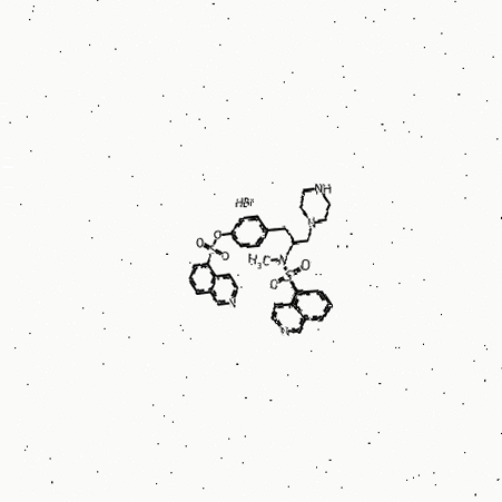 Br.CN(C(Cc1ccc(OS(=O)(=O)c2cccc3cnccc23)cc1)CN1CCNCC1)S(=O)(=O)c1cccc2cnccc12